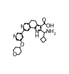 NC(c1[nH]c2c(c1C(=O)O)CCc1cnc(-c3cncc(OC4CCOCC4)c3)cc1-2)C1CCC1